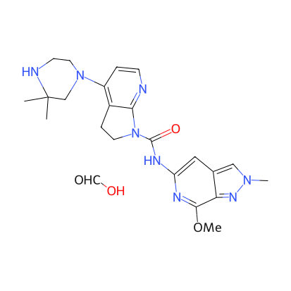 COc1nc(NC(=O)N2CCc3c(N4CCNC(C)(C)C4)ccnc32)cc2cn(C)nc12.O=CO